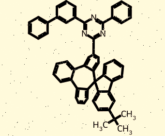 CC(C)(C)c1ccc2c(c1)-c1ccccc1C21c2ccccc2-c2ccccc2-c2cc(-c3nc(-c4ccccc4)nc(-c4cccc(-c5ccccc5)c4)n3)ccc21